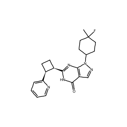 CC1(F)CCC(n2ncc3c(=O)[nH]c([C@@H]4CC[C@@H]4c4ccccn4)nc32)CC1